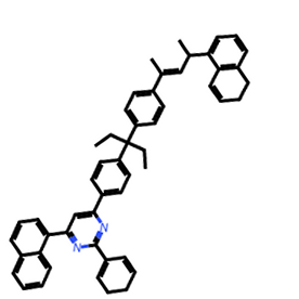 CCC(CC)(c1ccc(/C(C)=C/C(C)c2cccc3c2C=CCC3)cc1)c1ccc(-c2cc(-c3cccc4ccccc34)nc(C3=CCCC=C3)n2)cc1